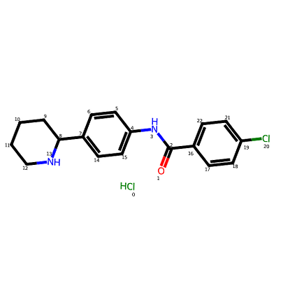 Cl.O=C(Nc1ccc(C2CCCCN2)cc1)c1ccc(Cl)cc1